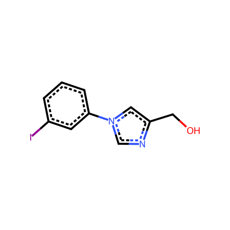 OCc1cn(-c2cccc(I)c2)cn1